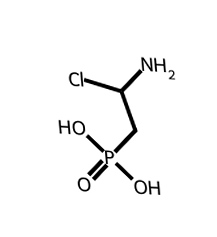 NC(Cl)CP(=O)(O)O